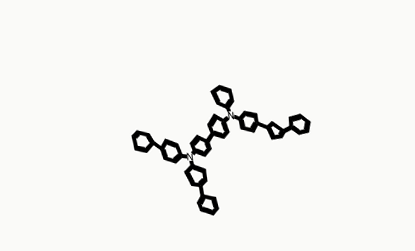 C1=C(c2ccccc2)CC(c2ccc(N(c3ccccc3)c3ccc(-c4ccc(N(c5ccc(-c6ccccc6)cc5)c5ccc(-c6ccccc6)cc5)cc4)cc3)cc2)=C1